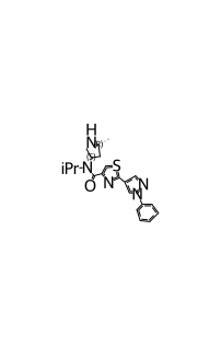 CC(C)N(C(=O)c1csc(-c2cnn(-c3ccccc3)c2)n1)[C@@H]1CN[C@H](C)C1